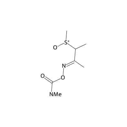 CNC(=O)O/N=C(\C)C(C)[S+](C)[O-]